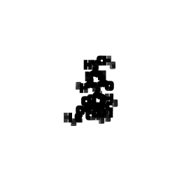 [2H]c1nc(NC)nc(=O)n1[C@H]1C[C@](C)(O)[C@@](C)(C(C)(C)OC)O1